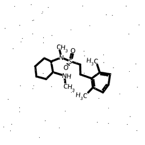 CNC1CCCCC1N(C)S(=O)(=O)CCc1c(C)cccc1C